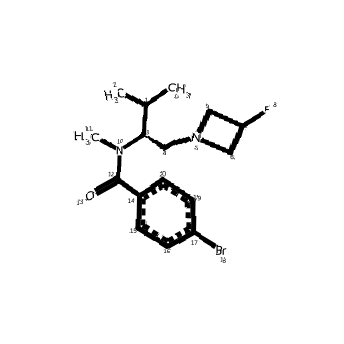 CC(C)[C@@H](CN1CC(F)C1)N(C)C(=O)c1ccc(Br)cc1